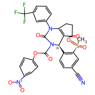 CS(=O)(=O)c1cc(C#N)ccc1[C@@H]1C2=C(CCC2=O)N(c2cccc(C(F)(F)F)c2)C(=O)N1C(=O)Oc1ccc([N+](=O)[O-])cc1